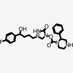 O=C1NN(CCCC(O)c2ccc(F)cc2)CN1OC(=O)N1CCNCC1c1ccccc1